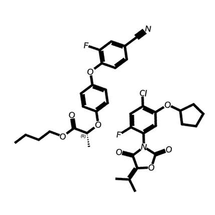 CC(C)=C1OC(=O)N(c2cc(OC3CCCC3)c(Cl)cc2F)C1=O.CCCCOC(=O)[C@@H](C)Oc1ccc(Oc2ccc(C#N)cc2F)cc1